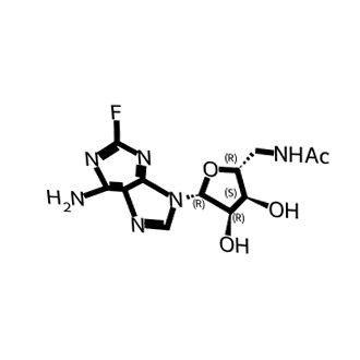 CC(=O)NC[C@H]1O[C@@H](n2cnc3c(N)nc(F)nc32)[C@H](O)[C@@H]1O